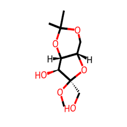 CO[C@]1(CO)O[C@H]2COC(C)(C)O[C@H]2[C@@H]1O